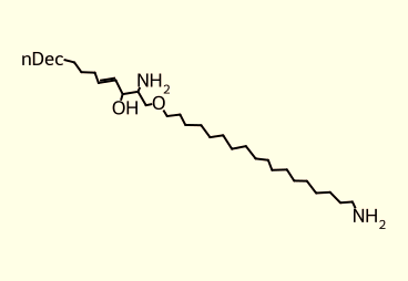 CCCCCCCCCCCCCC=CC(O)C(N)COCCCCCCCCCCCCCCCCCCN